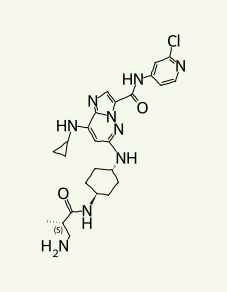 C[C@@H](CN)C(=O)N[C@H]1CC[C@H](Nc2cc(NC3CC3)c3ncc(C(=O)Nc4ccnc(Cl)c4)n3n2)CC1